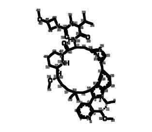 CCn1c(-c2cccnc2[C@H](C)OC)c2c3cc(ccc31)-c1csc(n1)C[C@H](NC(=O)C(C(C)C)N(C)C(=O)N1CC(OC)C1)C(=O)N1CCC[C@H](N1)[C@@H](OC)CCC(C)(C)C2